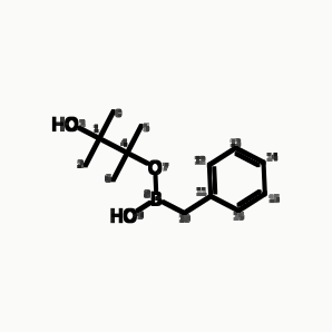 CC(C)(O)C(C)(C)OB(O)Cc1ccccc1